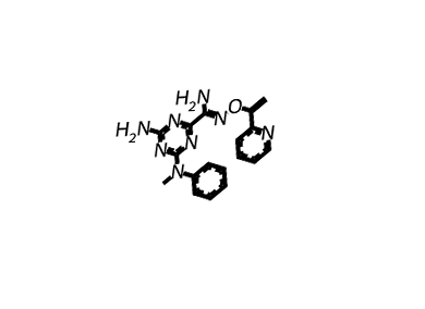 C=C(O/N=C(\N)c1nc(N)nc(N(C)c2ccccc2)n1)c1ccccn1